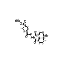 CC(C)(C)OC(=O)N1CCN(C(=O)CCN2C(=O)c3cccc4c(Br)ccc(c34)C2=O)CC1